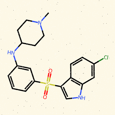 CN1CCC(Nc2cccc(S(=O)(=O)c3c[nH]c4cc(Cl)ccc34)c2)CC1